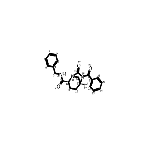 O=C(NCc1ccccc1)[C@@H]1CC[C@@H]2CN1C(=O)N2C(=O)c1ccccc1